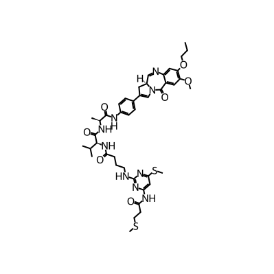 CCCOc1cc2c(cc1OC)C(=O)N1C=C(c3ccc(NC(=O)[C@H](C)NC(=O)[C@@H](NC(=O)CCCNc4nc(NC(=O)CCSC)cc(SC)n4)C(C)C)cc3)C[C@H]1C=N2